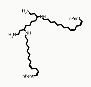 CCCCC/C=C\C/C=C\CCCCCCCCNC(CCN)CCCCC(CCN)NCCCCCCCC/C=C\C/C=C\CCCCC